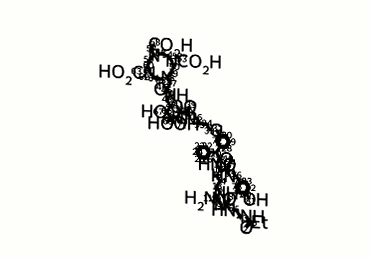 CCC(=O)NCCNC(=O)/N=C(/N)NCCC[C@@H](NC(=O)[C@@H](c1ccccc1)c1cccc(OCCCCNC(=O)C2OC(CNC(=O)CN3CCN(CC(=O)O)CCN(CC(=O)O)CCN(CC(=O)O)CC3)C(O)C(O)C2O)c1)C(=O)NCc1ccc(O)cc1